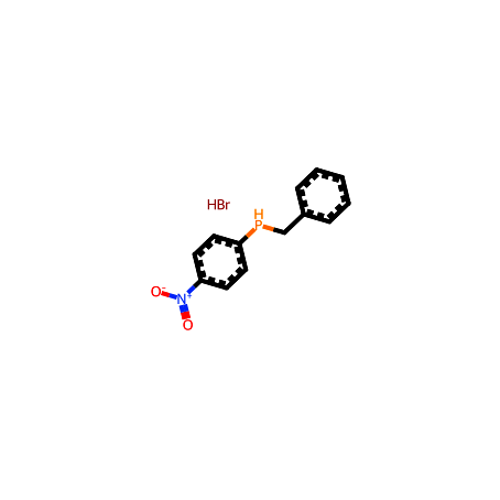 Br.O=[N+]([O-])c1ccc(PCc2ccccc2)cc1